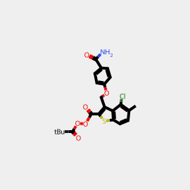 Cc1ccc2sc(C(=O)OOC(=O)C(C)(C)C)c(COc3ccc(C(N)=O)cc3)c2c1Cl